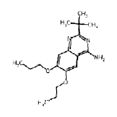 CCCOc1cc2nc(C(C)(C)C)nc(N)c2cc1OCCC